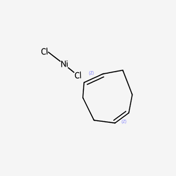 C1=C\CC/C=C\CC/1.[Cl][Ni][Cl]